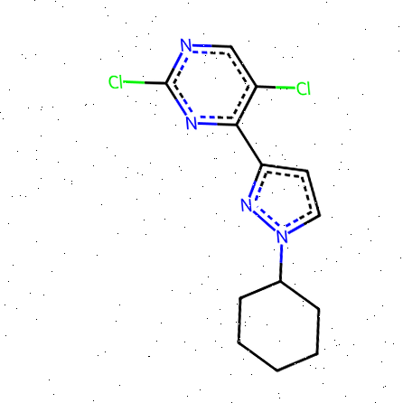 Clc1ncc(Cl)c(-c2ccn(C3CCCCC3)n2)n1